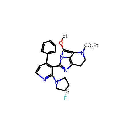 CCOC(=O)N1CCc2nc(-c3c(-c4ccccc4)ccnc3N3CC[C@H](F)C3)n3c2C1=C3OCC